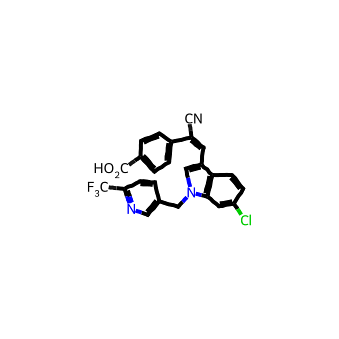 N#CC(=Cc1cn(Cc2ccc(C(F)(F)F)nc2)c2cc(Cl)ccc12)c1ccc(C(=O)O)cc1